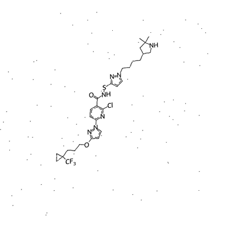 CC1(C)CC(CCCCn2ccc(SNC(=O)c3ccc(-n4ccc(OCCCC5(C(F)(F)F)CC5)n4)nc3Cl)n2)CN1